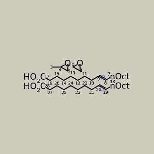 C1CO1.CC1CO1.CCCCCCCC/C=C/CCCCCCCC(=O)O.CCCCCCCC/C=C/CCCCCCCC(=O)O